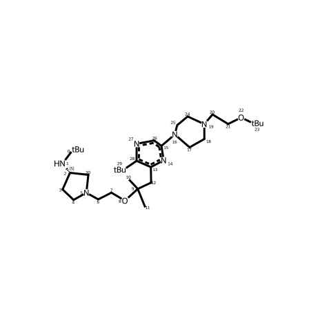 CC(C)(C)N[C@H]1CCN(CCOC(C)(C)Cc2nc(N3CCN(CCOC(C)(C)C)CC3)cnc2C(C)(C)C)C1